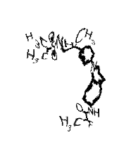 CC(F)C(=O)Nc1ccc2c(ccn2-c2ccc([C@@H](C)CNS(=O)(=O)C(C)C)cc2)c1